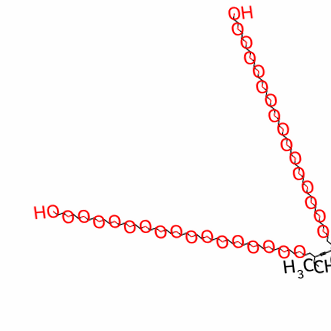 CC(C)C(C#CC(CCOCCOCCOCCOCCOCCOCCOCCOCCOCCOCCOCCOCCOCCOCCOCCOCCO)C(C)C)CCCOCCOCCOCCOCCOCCOCCOCCOCCOCCOCCOCCOCCOCCOCCOCCO